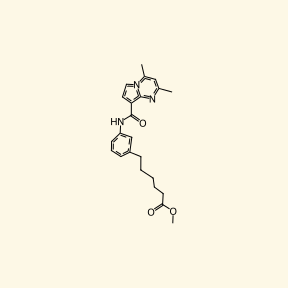 COC(=O)CCCCCc1cccc(NC(=O)c2ccn3c(C)cc(C)nc23)c1